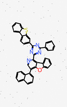 c1ccc(-c2nc(-c3ccc4c(c3)sc3ccccc34)nc(-c3ncc(-c4cccc5ccccc45)c4oc5ccccc5c34)n2)cc1